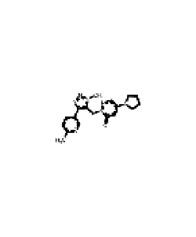 Cc1ccc(-c2nnn(C)c2Cn2ncc(N3CCCC3)cc2=O)cn1